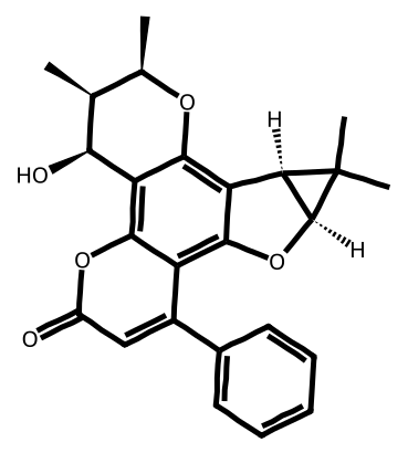 C[C@@H]1[C@H](O)c2c(c3c(c4c(-c5ccccc5)cc(=O)oc24)O[C@H]2[C@@H]3C2(C)C)O[C@@H]1C